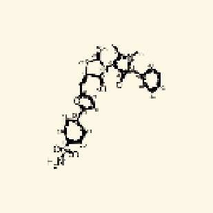 Cc1c(N2C(=O)C(=Cc3ccc(-c4ccc(S(N)(=O)=O)cc4)o3)SC2=S)c(=O)n(-c2ccccc2)n1C